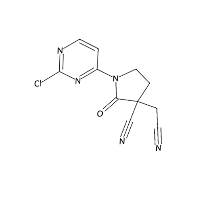 N#CCC1(C#N)CCN(c2ccnc(Cl)n2)C1=O